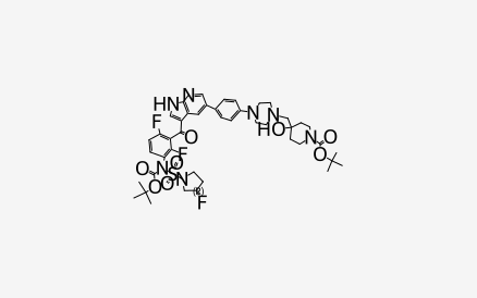 CC(C)(C)OC(=O)N1CCC(O)(CN2CCN(c3ccc(-c4cnc5[nH]cc(C(=O)c6c(F)ccc(N(C(=O)OC(C)(C)C)S(=O)(=O)N7CC[C@@H](F)C7)c6F)c5c4)cc3)CC2)CC1